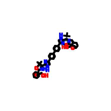 CC(C)(C)[C@H](NC(=O)C1(CO)OC2CCC1CC2)c1nc(-c2ccc(-c3ccc(-c4c[nH]c([C@@H](N5C(=O)C6(CO)OC7CCC6C5C7)C(C)(C)C)n4)cc3)cc2)c[nH]1